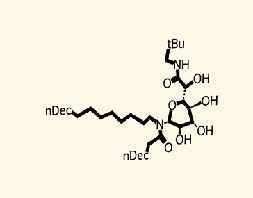 CCCCCCCCCCCCCCCCCCN(C(=O)CCCCCCCCCCC)[C@@H]1O[C@H](C(O)C(=O)NCC(C)(C)C)[C@@H](O)[C@H](O)[C@H]1O